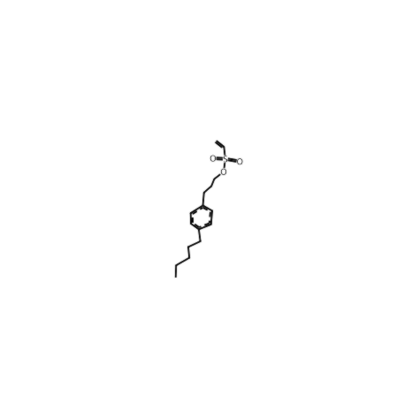 C=CS(=O)(=O)OCCCc1ccc(CCCCC)cc1